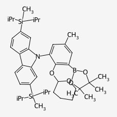 Cc1cc(B2OC(C)(C)C(C)(C)O2)c(OC2CCCCO2)c(-n2c3cc([Si](C)(C(C)C)C(C)C)ccc3c3ccc([Si](C)(C(C)C)C(C)C)cc32)c1